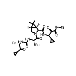 CCNC(=O)C(=O)C(NC(=O)[C@@H]1[C@@H]2[C@H](CN1C(=O)[C@@H](NC(=O)N[C@H](C(=O)C1CC1)C(C)C)C(C)(C)C)C2(C)C)C1CC1